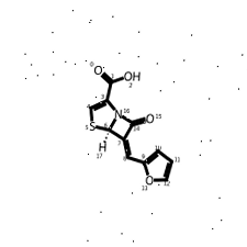 O=C(O)C1=CS[C@@H]2/C(=C/c3ccco3)C(=O)N12